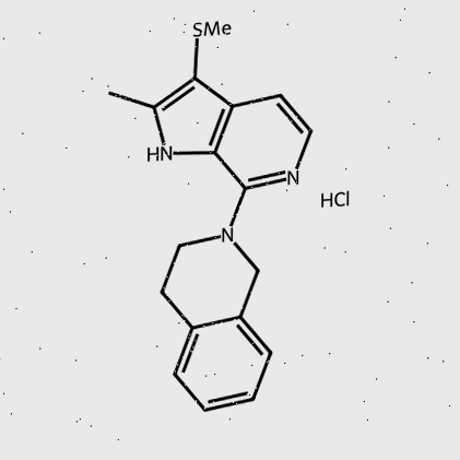 CSc1c(C)[nH]c2c(N3CCc4ccccc4C3)nccc12.Cl